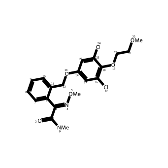 CNC(=O)/C(=N/OC)c1ccccc1COc1cc(Cl)c(OCCOC)c(Cl)c1